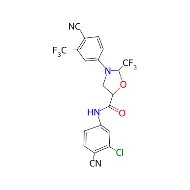 N#Cc1ccc(NC(=O)C2CN(c3ccc(C#N)c(C(F)(F)F)c3)C(C(F)(F)F)O2)cc1Cl